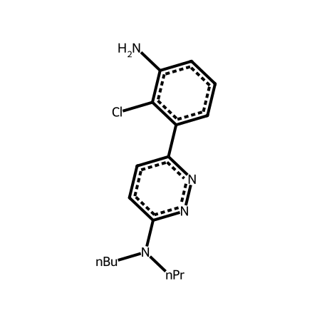 CCCCN(CCC)c1ccc(-c2cccc(N)c2Cl)nn1